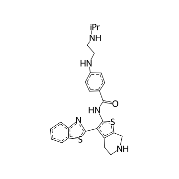 CC(C)NCCNc1ccc(C(=O)Nc2sc3c(c2-c2nc4ccccc4s2)CCNC3)cc1